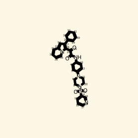 O=C(Nc1ccc(N2CCN(S(=O)(=O)c3cccnc3)CC2)cc1)C(=O)c1c(-c2ccccc2)cc2ccccn12